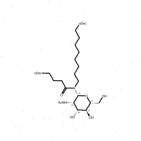 CCCCCCCCCCCCCCCCCCN(C(=O)CCCCCCCCCCCCC)[C@@H]1O[C@H](CO)[C@@H](O)[C@H](O)[C@@H]1NC(C)=O